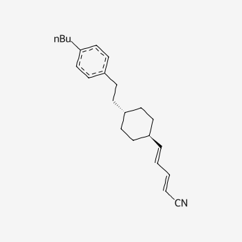 CCCCc1ccc(CC[C@H]2CC[C@H](C=CC=CC#N)CC2)cc1